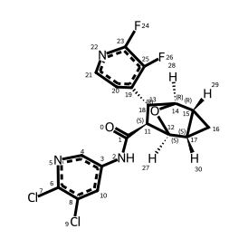 O=C(Nc1cnc(Cl)c(Cl)c1)[C@@H]1[C@H]2O[C@H]([C@@H]3C[C@@H]32)[C@H]1c1ccnc(F)c1F